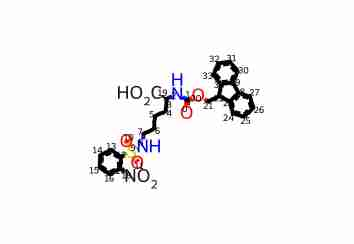 O=C(N[C@@H](CCCCNS(=O)(=O)c1ccccc1[N+](=O)[O-])C(=O)O)OCC1c2ccccc2-c2ccccc21